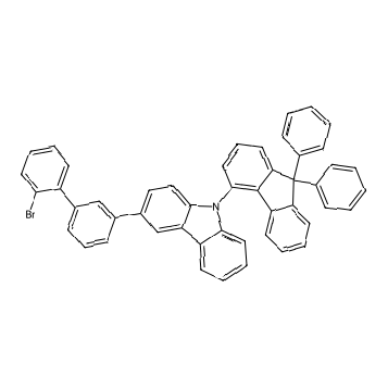 Brc1ccccc1-c1cccc(-c2ccc3c(c2)c2ccccc2n3-c2cccc3c2-c2ccccc2C3(c2ccccc2)c2ccccc2)c1